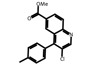 COC(=O)c1ccc2ncc(Cl)c(-c3ccc(C)cc3)c2c1